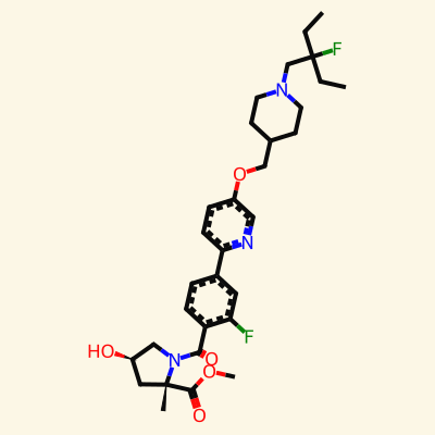 CCC(F)(CC)CN1CCC(COc2ccc(-c3ccc(C(=O)N4C[C@H](O)C[C@@]4(C)C(=O)OC)c(F)c3)nc2)CC1